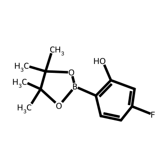 CC1(C)OB(c2ccc(F)cc2O)OC1(C)C